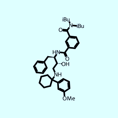 CCC(C)N(C(=O)c1cccc(C(=O)N[C@H](Cc2ccccc2)[C@H](O)CNC2(c3cccc(OC)c3)CCCCC2)c1)C(C)CC